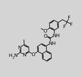 COc1ccc(CC(F)(F)F)cc1NC(=O)Nc1ccc(Oc2cc(C)nc(N)n2)c2ccccc12